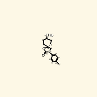 O=C[C@H]1CC[C@]2(CC1)CN(c1ccc(F)cc1)C(=O)O2